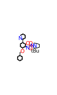 CC(C)(C)OC(=O)N1C2CCC1CN(c1nc3c(OCc4ccccc4)ccc(-c4ccccn4)c3o1)C2